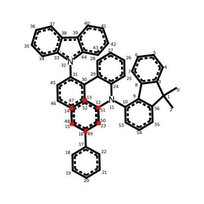 CC1(C)c2ccccc2-c2c(N(c3cccc(-c4ccccc4)c3)c3ccccc3-c3c(-n4c5ccccc5c5ccccc54)ccc4ccccc34)cccc21